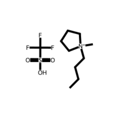 CCCC[N+]1(C)CCCC1.O=S(=O)(O)C(F)(F)F